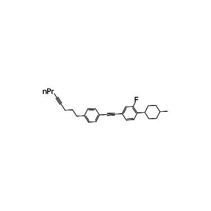 CCCC#CCCCc1ccc(C#Cc2ccc(C3CCC(C)CC3)c(F)c2)cc1